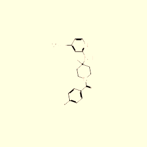 COc1ccnc(NC2(C)CCN(C(=O)c3ccc(Cl)cc3)CC2)c1